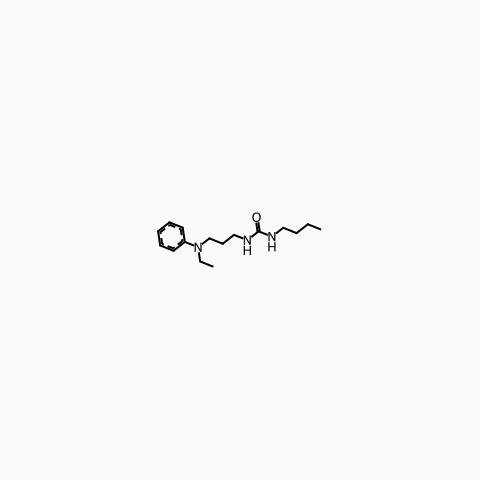 CCCCNC(=O)NCCCN(CC)c1ccccc1